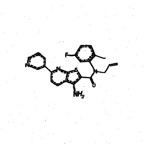 C=CCN(C(=O)c1sc2nc(-c3cccnc3)ccc2c1N)c1cc(F)ccc1C